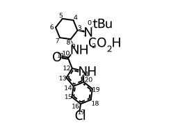 CC(C)(C)N(C(=O)O)[C@@H]1CCCC[C@H]1NC(=O)c1cc2cc(Cl)ccc2[nH]1